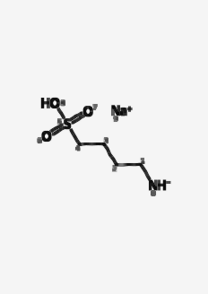 [NH-]CCCCS(=O)(=O)O.[Na+]